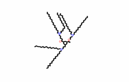 C=C(OCCCN(CCCCCCCCCCCCCCCC)CCCCCCCCCCCCCCCC)C1CC(CCCN(CCCCCCCCCCCCCCCC)CCCCCCCCCCCCCCCC)CC(C(=O)CCCCN(CCCCCCCCCCCCCCCC)CCCCCCCCCCCCCCCC)C1